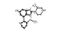 COc1cccnc1-c1cc(Cl)cc2nc(N3CCNCC3C)oc12